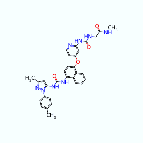 CNC(=O)CNC(=O)Nc1cc(Oc2ccc(NC(=O)Nc3cc(C)nn3-c3ccc(C)cc3)c3ccccc23)ccn1